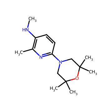 CNc1ccc(N2CC(C)(C)OC(C)(C)C2)nc1C